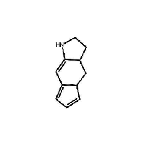 C1=CC2CC3CCNC3=CC2=C1